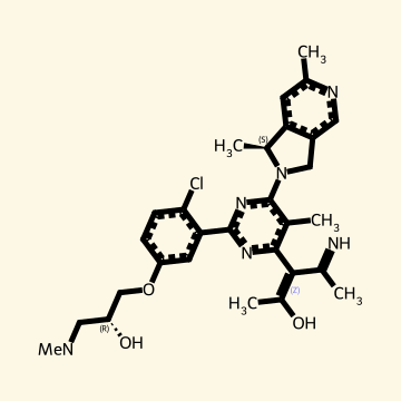 CNC[C@@H](O)COc1ccc(Cl)c(-c2nc(/C(C(C)=N)=C(\C)O)c(C)c(N3Cc4cnc(C)cc4[C@@H]3C)n2)c1